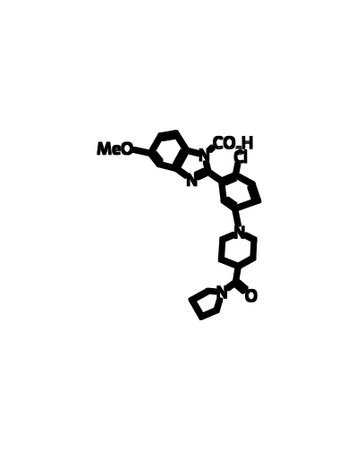 COc1ccc2c(c1)nc(-c1cc(N3CCC(C(=O)N4CCCC4)CC3)ccc1Cl)n2C(=O)O